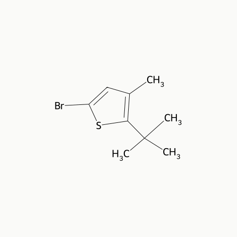 Cc1cc(Br)sc1C(C)(C)C